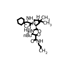 C=CCNC(=O)C(=O)C(CCCC)NC(=O)[C@@H]1C2[C@H](CN1C(=O)[C@@H](N)C1(C)CCCCC1)C2(C)C